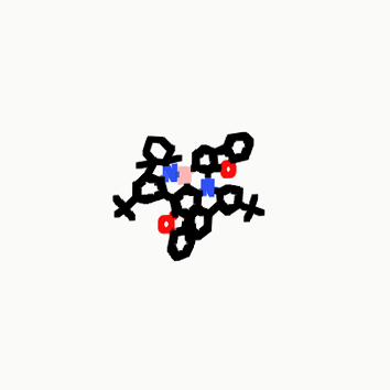 CC(C)(C)c1ccc(N2c3cc4c(oc5ccccc54)c4c3B(c3ccc5c(oc6ccccc65)c32)N2c3c-4cc(C(C)(C)C)cc3C3(C)CCCCC23C)c(-c2ccccc2)c1